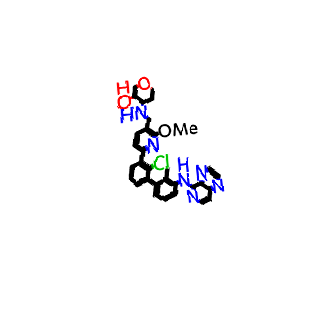 COc1nc(-c2cccc(-c3cccc(Nc4nccc5nccnc45)c3C)c2Cl)ccc1CN[C@@H]1CCOC[C@@H]1O